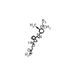 CC#CC1=CC(c2ncc(-c3cccc4c3CCC4NOCCC(=O)OC)s2)=CCC=C1OC(C)C